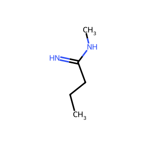 CCCC(=N)NC